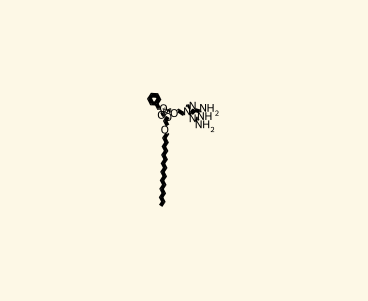 CCCCCCCCCCCCCCCCCCOCCOP(=O)(COCCn1cnc2c1N=C(N)NC2N)OCc1ccccc1